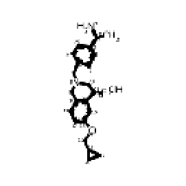 CC(N)c1ccc(CN2Cc3ccc(OCC4CC4)cc3[C@H](F)C2)cc1.Cl